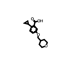 O=C(O)c1cc(OCC2CCOCC2)ccc1C1CC1